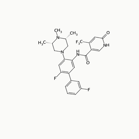 C[C@@H]1CN(c2cc(F)c(-c3cccc(F)c3)cc2NC(=O)c2c[nH]c(=O)cc2C(F)(F)F)C[C@H](C)N1C